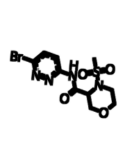 CS(=O)(=O)N1CCOCC1C(=O)Nc1ccc(Br)nn1